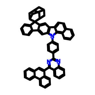 c1ccc2c(c1)-c1cc3c(cc1C21C2CC4CC(C2)CC1C4)c1ccc2ccccc2c1n3-c1ccc(-c2nc(-c3cc4ccccc4c4ccccc34)c3ccccc3n2)cc1